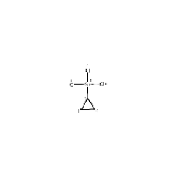 [Cl][Sn]([Cl])([Cl])[CH]1CC1